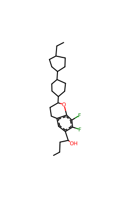 CCCC(O)c1cc2c(c(F)c1F)OC(C1CCC(C3CCC(CC)CC3)CC1)CC2